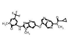 CN(C(=O)C1CC1)c1cn2ncc(Oc3cnc4nc(Nc5cc(C(F)(F)F)cn(C)c5=O)n(C)c4c3)c2cn1